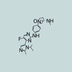 CN[C@H]1CC[N+]([O-])(c2ccc(Nc3ncc(F)c(-c4cnc(C)n4C(C)C)n3)cc2)C1